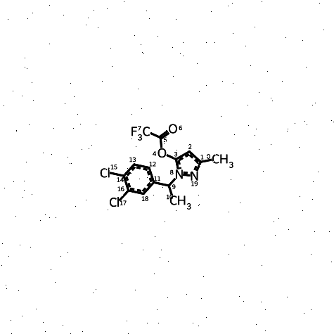 Cc1cc(OC(=O)C(F)(F)F)n(C(C)c2ccc(Cl)c(Cl)c2)n1